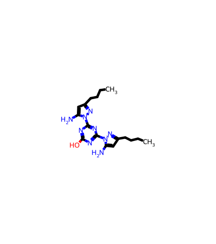 CCCCc1cc(N)n(-c2nc(O)nc(-n3nc(CCCC)cc3N)n2)n1